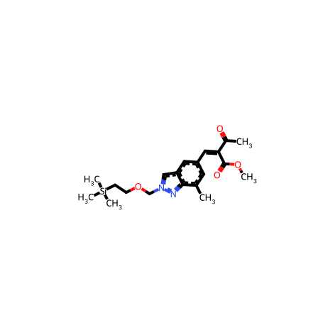 COC(=O)C(=Cc1cc(C)c2nn(COCC[Si](C)(C)C)cc2c1)C(C)=O